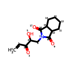 C=CC(=O)C(O)CN1C(=O)C2CCCCC2C1=O